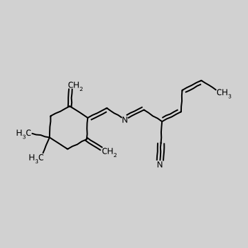 C=C1CC(C)(C)CC(=C)C1=C/N=C/C(C#N)=C\C=C/C